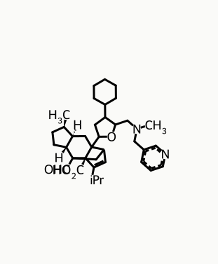 CC(C)C1=CC2CC3(C=O)[C@@H]4CC[C@@H](C)[C@H]4CC2(C2CC(C4CCCCC4)C(CN(C)Cc4cccnc4)O2)[C@]13C(=O)O